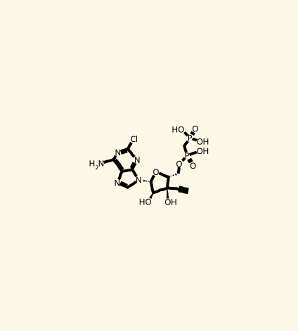 C#C[C@@]1(O)[C@@H](COP(=O)(O)CP(=O)(O)O)O[C@@H](n2cnc3c(N)nc(Cl)nc32)[C@@H]1O